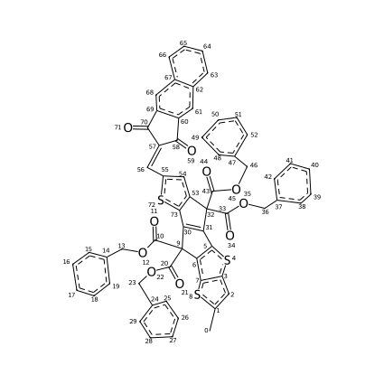 Cc1cc2sc3c(c2s1)C(C(=O)OCc1ccccc1)(C(=O)OCc1ccccc1)C1=C3C(C(=O)OCc2ccccc2)(C(=O)OCc2ccccc2)c2cc(C=C3C(=O)c4cc5ccccc5cc4C3=O)sc21